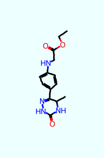 CCOC(=O)CNc1ccc(C2=NNC(=O)NC2C)cc1